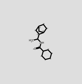 CC(NC(=O)C1CCCCC1)C1CC2CCC1C2